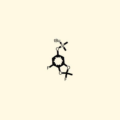 CC1(F)Oc2cc(O[Si](C)(C)C(C)(C)C)cc(F)c2O1